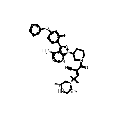 C[C@@H]1CN[C@@H](C)CN1C(C)(C)C=C(C#N)C(=O)N1CCCC(n2nc(-c3ccc(Oc4ccccc4)cc3F)c3c(N)ncnc32)C1